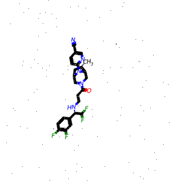 C[C@H]1CC2CN(C(=O)CCN[C@@H](c3ccc(F)c(F)c3)C(F)F)CC1N2c1ccc(C#N)cn1